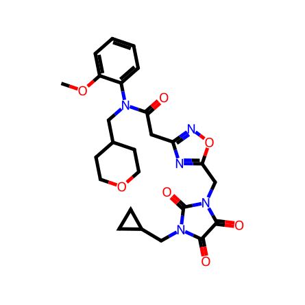 COc1ccccc1N(CC1CCOCC1)C(=O)Cc1noc(CN2C(=O)C(=O)N(CC3CC3)C2=O)n1